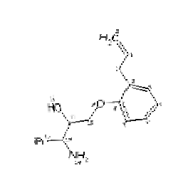 C=CCc1ccccc1OCC(O)C(N)C(C)C